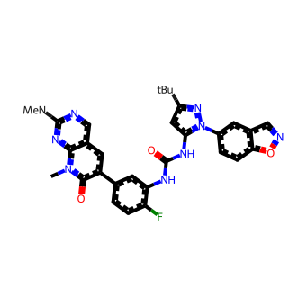 CNc1ncc2cc(-c3ccc(F)c(NC(=O)Nc4cc(C(C)(C)C)nn4-c4ccc5oncc5c4)c3)c(=O)n(C)c2n1